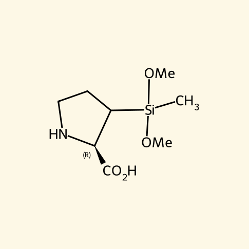 CO[Si](C)(OC)C1CCN[C@@H]1C(=O)O